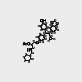 CC(=O)OC(CNCC1CCCCC1)COc1ccc(C(=C(c2ccc3c(c2)OCO3)C2CC2)c2ccc(O)cc2)cc1